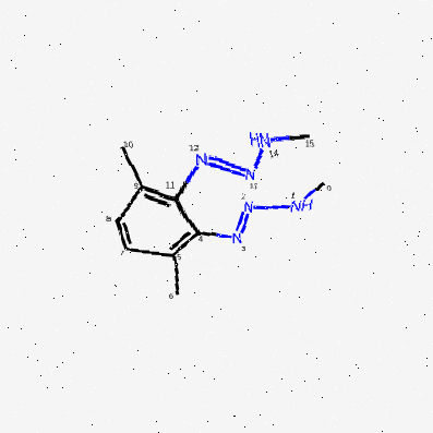 CNN=Nc1c(C)ccc(C)c1N=NNC